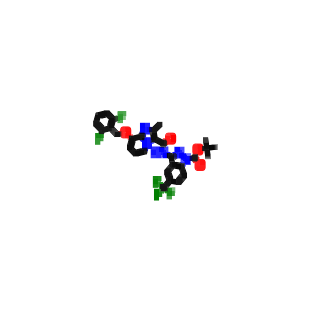 Cc1nc2c(OCc3c(F)cccc3F)cccn2c1C(=O)Nc1nn(C(=O)OC(C)(C)C)c2ccc(C(F)(F)F)cc12